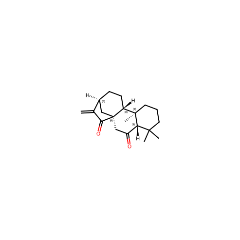 C=C1C(=O)[C@]23CC(=O)[C@H]4C(C)(C)CCC[C@]4(C)[C@H]2CC[C@H]1C3